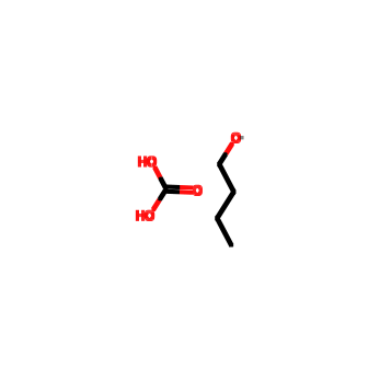 CCCC[O].O=C(O)O